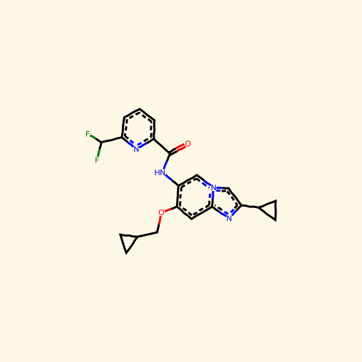 O=C(Nc1cn2cc(C3CC3)nc2cc1OCC1CC1)c1cccc(C(F)F)n1